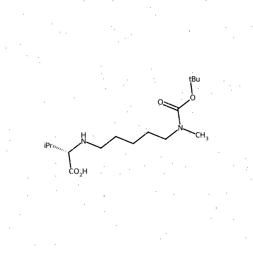 CC(C)[C@H](NCCCCCN(C)C(=O)OC(C)(C)C)C(=O)O